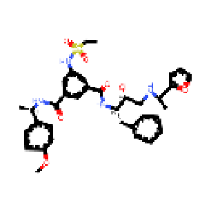 CCS(=O)(=O)Nc1cc(C(=O)N[C@@H](Cc2ccccc2)[C@H](O)CNC(C)c2ccco2)cc(C(=O)N[C@H](C)c2ccc(OC)cc2)c1